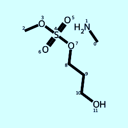 CN.COS(=O)(=O)OCCCO